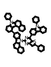 c1ccc(-c2cc3nc(-n4c5ccc(-c6cccc7c6c6c8ccccc8ccc6n7-c6ccccc6)cc5c5ccc6ccccc6c54)nc(-c4ccc5c(c4)c4ccccc4n5-c4ccccc4)c3s2)cc1